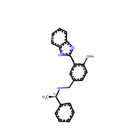 COc1ccc(CN[C@H](C)c2ccccc2)cc1-c1nc2ccccc2[nH]1